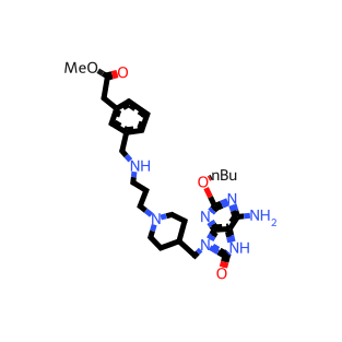 CCCCOc1nc(N)c2[nH]c(=O)n(CC3CCN(CCCNCc4cccc(CC(=O)OC)c4)CC3)c2n1